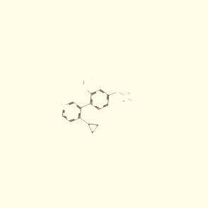 COc1cc(NS(C)(=O)=O)ccc1-c1cnccc1C1CC1